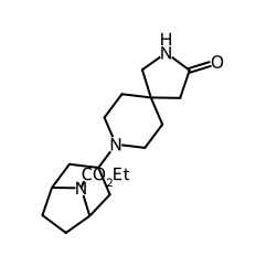 CCOC(=O)N1C2CCC1CC(N1CCC3(CC1)CNC(=O)C3)C2